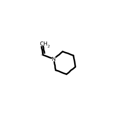 C=[C]N1CCCCC1